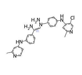 Cc1cc(Nc2cccc(/C(N)=C/N(N)c3ccc(Nc4cc(C)ncc4Cl)cc3)c2)ccn1